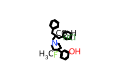 CC1CN(CC(Cc2ccccc2)(Cc2ccccc2)C(=O)O)CCC1(F)c1cccc(O)c1.Cl